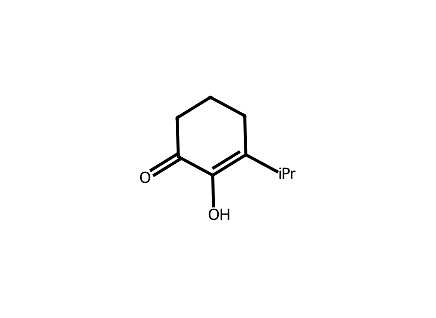 CC(C)C1=C(O)C(=O)CCC1